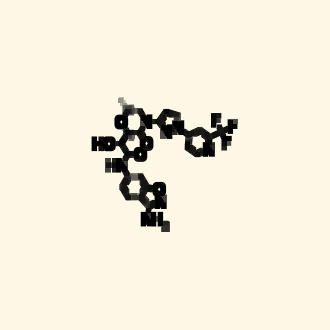 C[C@@H]1CN(c2ccn(-c3ccnc(C(F)(F)F)c3)n2)C(=O)[C@@H](C(O)C(=O)Nc2ccc3c(N)noc3c2)O1